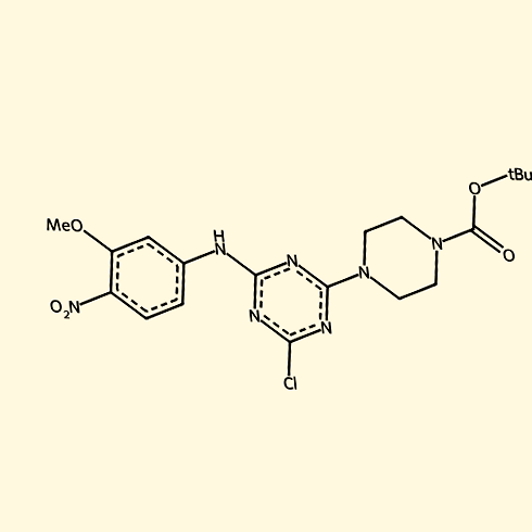 COc1cc(Nc2nc(Cl)nc(N3CCN(C(=O)OC(C)(C)C)CC3)n2)ccc1[N+](=O)[O-]